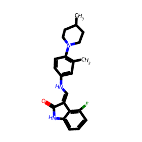 Cc1cc(NC=C2C(=O)Nc3cccc(F)c32)ccc1N1CCC(C)CC1